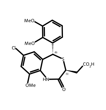 COc1cc(Cl)cc2c1NC(=O)[C@H](CC(=O)O)S[C@H]2c1cccc(OC)c1OC